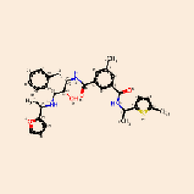 Cc1cc(C(=O)NC(C)c2ccc(C)s2)cc(C(=O)N[C@@H](Cc2ccccc2)[C@H](O)CNC(C)c2ccco2)c1